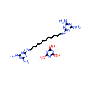 Nc1nc(N)nc(NCCCCCCCCCCCCNc2nc(N)nc(N)n2)n1.Oc1nc(O)nc(O)n1